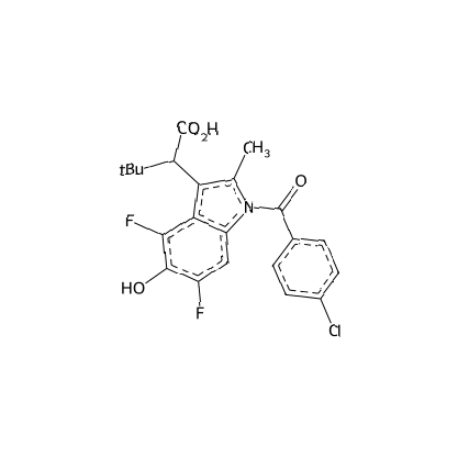 Cc1c(C(C(=O)O)C(C)(C)C)c2c(F)c(O)c(F)cc2n1C(=O)c1ccc(Cl)cc1